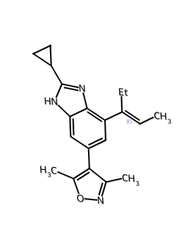 C/C=C(\CC)c1cc(-c2c(C)noc2C)cc2[nH]c(C3CC3)nc12